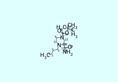 CCCCN1CCN(C(=O)OC(C)(C)C)C[C@H]1C(N)=O